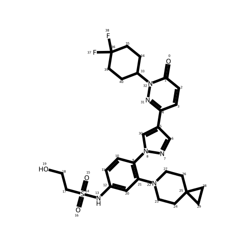 O=c1ccc(-c2cnn(-c3ccc(NS(=O)(=O)CCO)cc3N3CCC4(CC3)CC4)c2)nn1C1CCC(F)(F)CC1